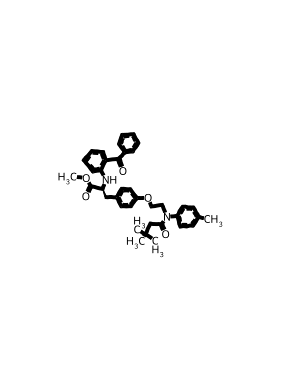 COC(=O)[C@H](Cc1ccc(OCCN(C(=O)CC(C)(C)C)c2ccc(C)cc2)cc1)Nc1ccccc1C(=O)c1ccccc1